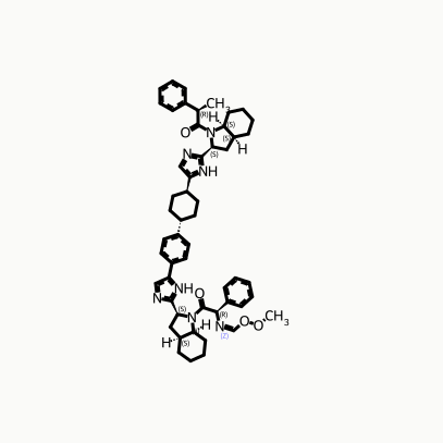 COO/C=N\[C@@H](C(=O)N1[C@H](c2ncc(-c3ccc([C@H]4CC[C@H](c5cnc([C@@H]6C[C@@H]7CCCC[C@@H]7N6C(=O)[C@H](C)c6ccccc6)[nH]5)CC4)cc3)[nH]2)C[C@@H]2CCCC[C@@H]21)c1ccccc1